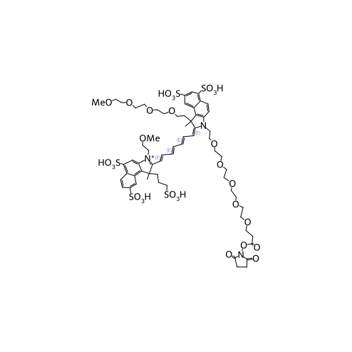 COCCOCCOCCOCCC1(C)\C(=C/C=C/C=C/C=C/C2=[N+](CCOC)c3cc(S(=O)(=O)O)c4ccc(S(=O)(=O)O)cc4c3C2(C)CCCS(=O)(=O)O)N(CCOCCOCCOCCOCCOCCC(=O)ON2C(=O)CCC2=O)c2ccc3c(S(=O)(=O)O)cc(S(=O)(=O)O)cc3c21